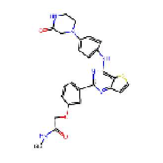 CC(C)(C)NC(=O)COc1cccc(-c2nc(Nc3ccc(N4CCNC(=O)C4)cc3)c3sccc3n2)c1